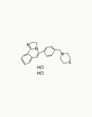 C1=C(c2ccc(CN3CCSCC3)cc2)N2CCN=C2c2ccccc21.Cl.Cl